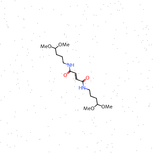 COC(CCCNC(=O)/C=C/C(=O)NCCCC(OC)OC)OC